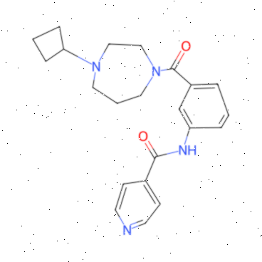 O=C(Nc1cccc(C(=O)N2CCCN(C3CCC3)CC2)c1)c1ccncc1